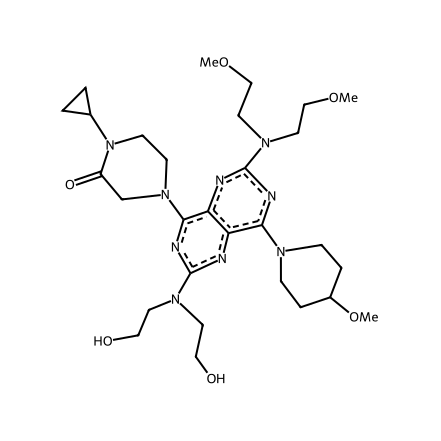 COCCN(CCOC)c1nc(N2CCC(OC)CC2)c2nc(N(CCO)CCO)nc(N3CCN(C4CC4)C(=O)C3)c2n1